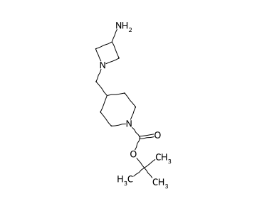 CC(C)(C)OC(=O)N1CCC(CN2CC(N)C2)CC1